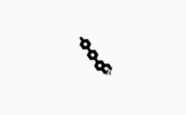 Cc1ccc(-c2ccc(-c3ccc4cnccc4c3)cc2)cc1